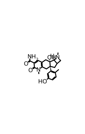 Cc1ccc(O)cc1[C@@]12Cc3c(cc(C(N)=O)c(=O)n3C)C[C@@]1(O)[C@H]1C(CN1C)C2